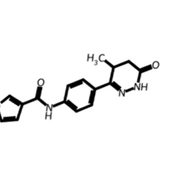 CC1CC(=O)NN=C1c1ccc(NC(=O)c2ccoc2)cc1